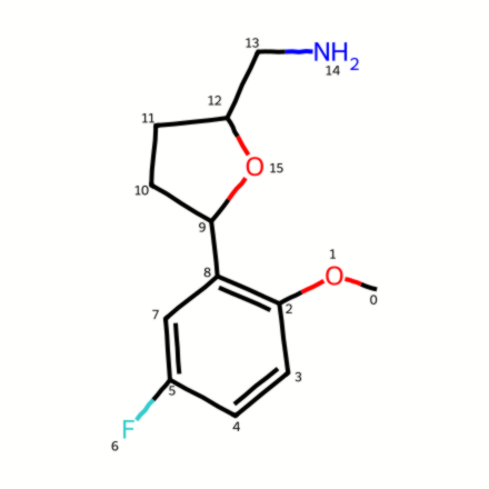 COc1ccc(F)cc1C1CCC(CN)O1